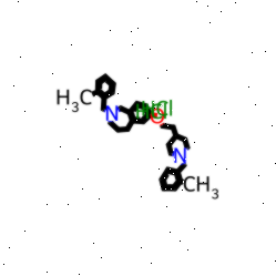 Cc1ccccc1CN1CCC(CCOc2ccc3c(c2)CCCN(Cc2ccccc2C)C3)CC1.Cl.Cl